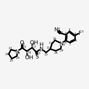 N#Cc1cc(F)ccc1N1CCC(CNC(=S)[C@H](O)[C@@H](O)C(=O)N2CCCC2)CC1